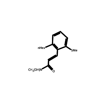 CCCCCCc1cccc(SC)c1C=CC(=O)N(C)O